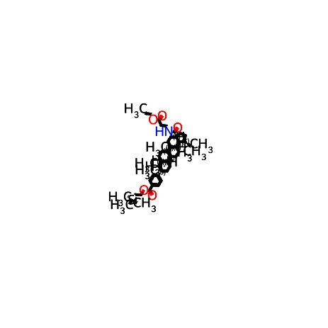 CCCOC(=O)CCNC(=O)[C@]12CC[C@@H](C(C)C)[C@@H]1[C@H]1CC[C@@H]3[C@@]4(C)CC[C@H](c5ccc(C(=O)OCC[Si](C)(C)C)cc5)C(C)(C)[C@@H]4CC[C@@]3(C)[C@]1(C)CC2